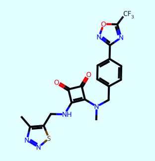 Cc1nnsc1CNc1c(N(C)Cc2ccc(-c3noc(C(F)(F)F)n3)cc2)c(=O)c1=O